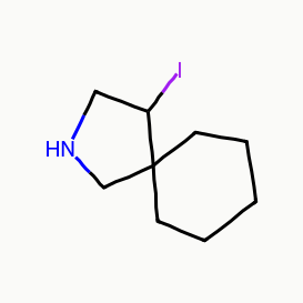 IC1CNCC12CCCCC2